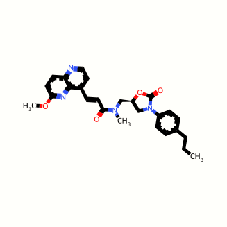 CCCc1ccc(N2C[C@@H](CN(C)C(=O)C=Cc3ccnc4ccc(OC)nc34)OC2=O)cc1